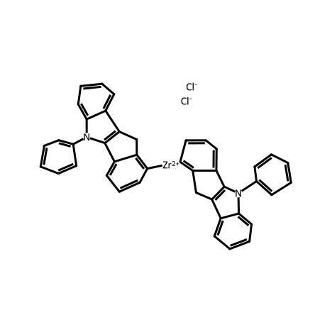 [Cl-].[Cl-].c1ccc(-n2c3c(c4ccccc42)Cc2[c]([Zr+2][c]4cccc5c4Cc4c-5n(-c5ccccc5)c5ccccc45)cccc2-3)cc1